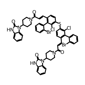 O=C(/C=C/c1ccc(Sc2ccc(/C=C/C(=O)N3CCC(n4c(=O)[nH]c5ccccc54)CC3)c(-c3ccccc3Br)c2Cl)c(Cl)c1-c1ccccc1Br)N1CCC(n2c(=O)[nH]c3ccccc32)CC1